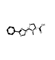 CN1[C@@H](C(=O)O)CS[C@H]1[C@H]1CSC(c2ccccc2)=N1